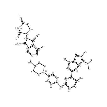 Cc1nc2c(F)cc(-c3nc(Nc4ccc(N5CCN(Cc6cc(F)c7c(c6)C(=O)N(C6CCC(=O)NC6=O)C7=O)CC5)cn4)ncc3F)cc2n1C(C)C